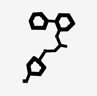 CCC(C)c1ccc(OCC(C)Oc2ccccc2-c2ccccc2)cc1